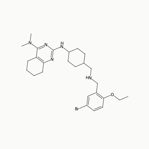 CCOc1ccc(Br)cc1CNCC1CCC(Nc2nc3c(c(N(C)C)n2)CCCC3)CC1